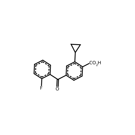 O=C(c1ccc(C(=O)O)c(C2CC2)c1)c1ccccc1F